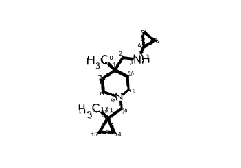 CC1(CNC2CC2)CCN(CC2(C)CC2)CC1